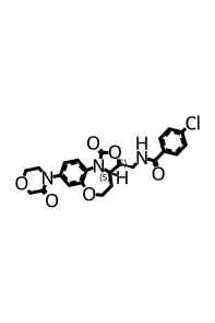 O=C(NC[C@@H]1OC(=O)N2c3ccc(N4CCOCC4=O)cc3OCC[C@@H]12)c1ccc(Cl)cc1